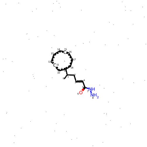 CC(C/C=C/C(=O)NN)c1ccccccccc1